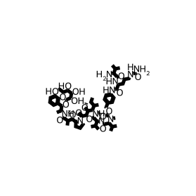 CCC(C)C(C(CC(=O)N1CCCC1C(OC)C(C)C(=O)NC(C)C(OC1OC(CO)C(O)C(O)C1O)c1ccccc1)OC)N(C)C(=O)C(NC(=O)C(C(C)C)N(C)C(=O)OCc1ccc(NC(=O)C(CCCNC(N)=O)NC(=O)C(N)C(C)C)cc1)C(C)C